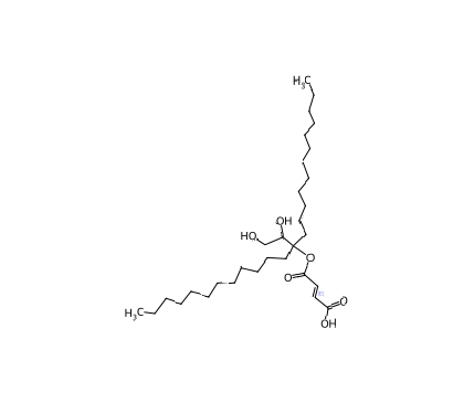 CCCCCCCCCCCCC(CCCCCCCCCCCC)(OC(=O)/C=C/C(=O)O)C(O)CO